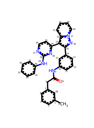 Cc1cccc(CC(=O)Nc2cccc(-c3nn4ccccc4c3-c3ccnc(Nc4ccccc4)n3)c2)c1